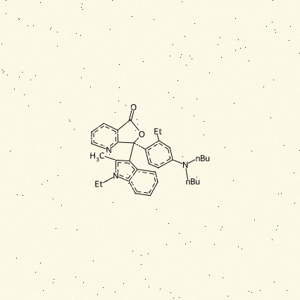 CCCCN(CCCC)c1ccc(C2(c3c(C)n(CC)c4ccccc34)OC(=O)c3cccnc32)c(CC)c1